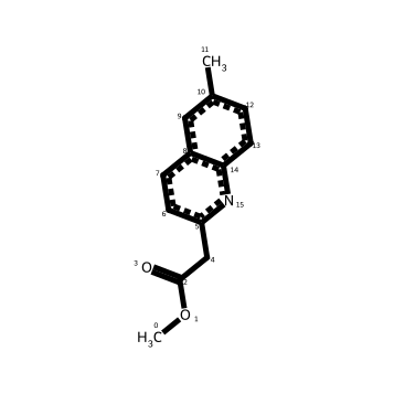 COC(=O)Cc1ccc2cc(C)ccc2n1